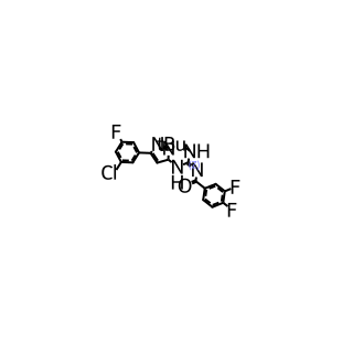 CC(C)(C)N/C(=N/C(=O)c1ccc(F)c(F)c1)NC1C=C(c2cc(F)cc(Cl)c2)N=N1